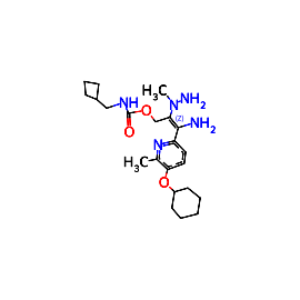 Cc1nc(/C(N)=C(\COC(=O)NCC2CCC2)N(C)N)ccc1OC1CCCCC1